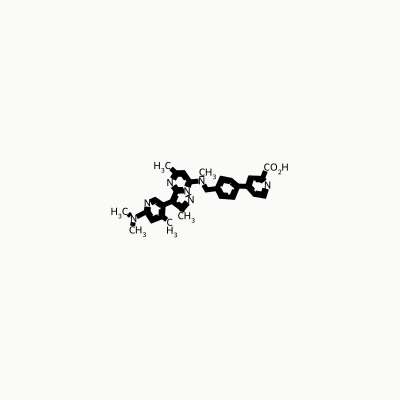 Cc1cc(N(C)Cc2ccc(-c3ccnc(C(=O)O)c3)cc2)n2nc(C)c(-c3cnc(N(C)C)cc3C)c2n1